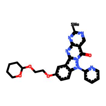 CSc1ncc2c(=O)n3c(nc2n1)c1cc(OCCOC2CCCCO2)ccc1n3-c1ccccn1